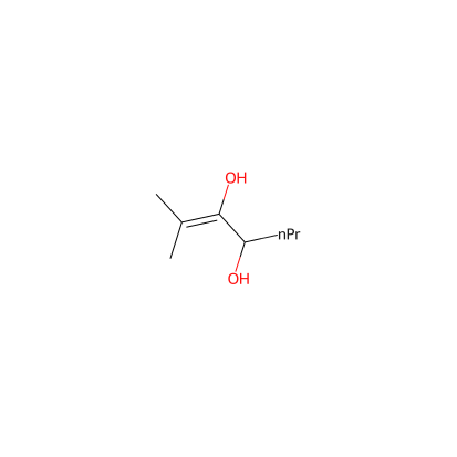 CCCC(O)C(O)=C(C)C